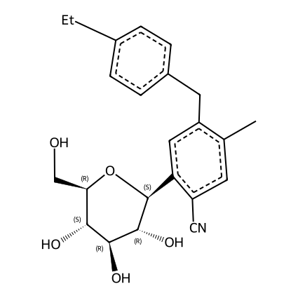 CCc1ccc(Cc2cc([C@@H]3O[C@H](CO)[C@@H](O)[C@H](O)[C@H]3O)c(C#N)cc2C)cc1